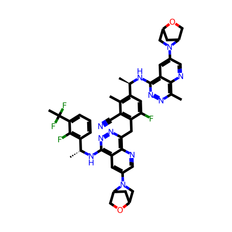 Cc1c([C@@H](C)Nc2nnc(C)c3ncc(N4CC5CC4CO5)cc23)cc(F)c(Cc2nnc(N[C@H](C)c3cccc(C(C)(F)F)c3F)c3cc(N4CC5CC4CO5)cnc23)c1C#N